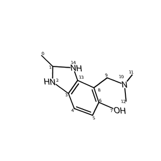 CC1Nc2ccc(O)c(CN(C)C)c2N1